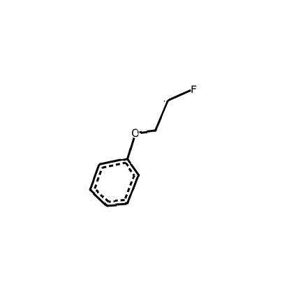 F[CH]COc1ccccc1